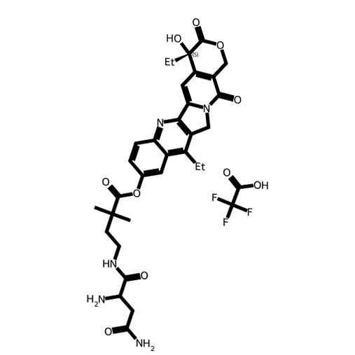 CCc1c2c(nc3ccc(OC(=O)C(C)(C)CCNC(=O)C(N)CC(N)=O)cc13)-c1cc3c(c(=O)n1C2)COC(=O)[C@]3(O)CC.O=C(O)C(F)(F)F